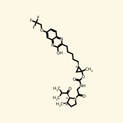 CC(C)C(=O)[C@@H]1[C@H](C)CCN1C(=O)CNC(=O)OC1(C)C[C@H]1CCCCCc1nc2ccc(OCC(F)(F)F)cc2nc1O